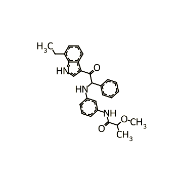 CCc1cccc2c(C(=O)C(Nc3cccc(NC(=O)C(C)OC)c3)c3ccccc3)c[nH]c12